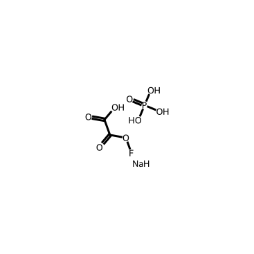 O=C(O)C(=O)OF.O=P(O)(O)O.[NaH]